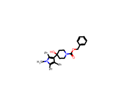 CC(C)c1c(C2(O)CCN(C(=O)OCc3ccccc3)CC2)c(C(C)C)n([SiH3])c1C(C)C